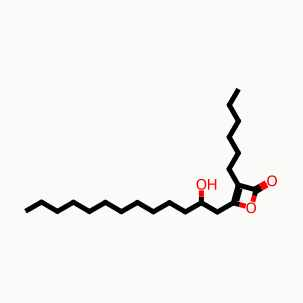 CCCCCCCCCCCC(O)CC1=C(CCCCCC)C(=O)O1